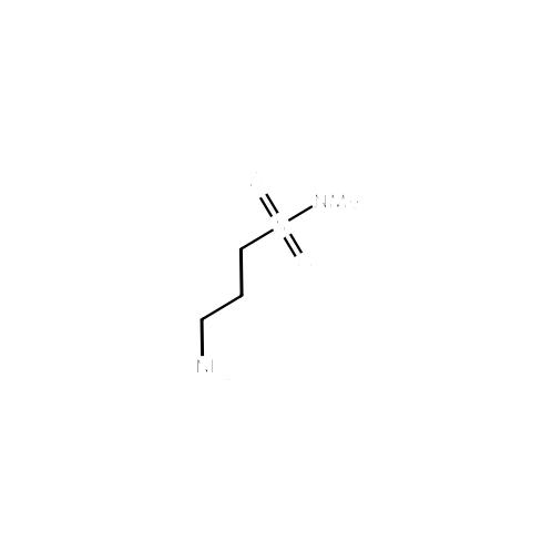 CNS(=O)(=O)CCCN